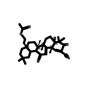 CC(=O)OCC[C@]12CCC(C)(C)CC1C1C(=O)C=C3[C@@]4(C)C=C(C#N)C(=O)C(C)(C)[C@@H]4CC[C@@]3(C)[C@]1(C)CC2